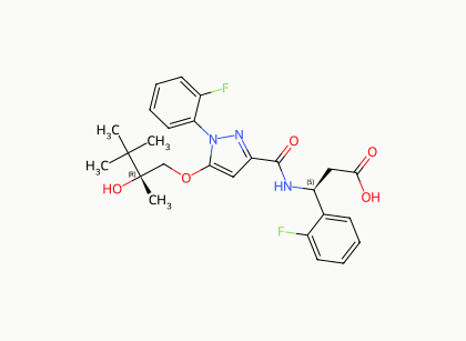 CC(C)(C)[C@@](C)(O)COc1cc(C(=O)N[C@@H](CC(=O)O)c2ccccc2F)nn1-c1ccccc1F